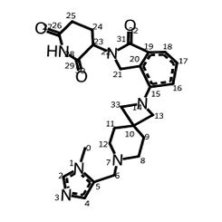 Cn1cncc1CN1CCC2(CC1)CN(c1cccc3c1CN(C1CCC(=O)NC1=O)C3=O)C2